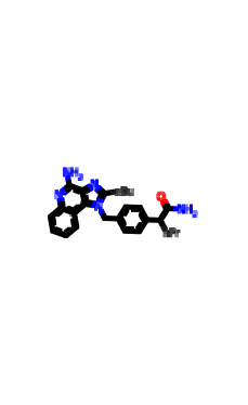 CCCCc1nc2c(N)nc3ccccc3c2n1Cc1ccc(C(CCC)C(N)=O)cc1